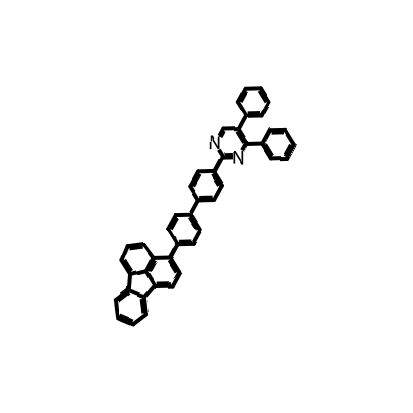 c1ccc(-c2cnc(-c3ccc(-c4ccc(-c5ccc6c7c(cccc57)-c5ccccc5-6)cc4)cc3)nc2-c2ccccc2)cc1